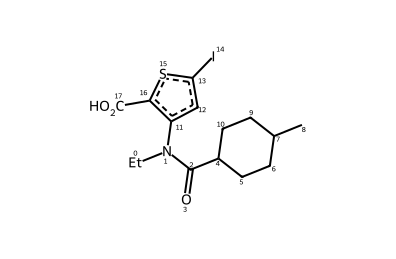 CCN(C(=O)C1CCC(C)CC1)c1cc(I)sc1C(=O)O